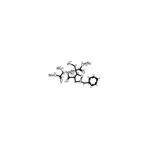 CC[C@H](C)[C@H](NC(=O)C1CN(Cc2ccccc2)OC1[C@@](N)(CC(C)C)C(=O)OC(C)(C)C)C(=O)OC